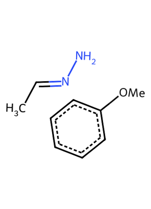 CC=NN.COc1ccccc1